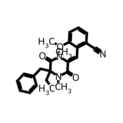 CCC1(Cc2ccccc2)C(=O)N(C)/C(=C\c2c(C#N)cccc2OC)C(=O)N1C